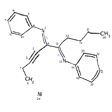 CCC#CC(=N\c1ccccc1)/C(CCCC)=N/c1ccccc1.[Ni]